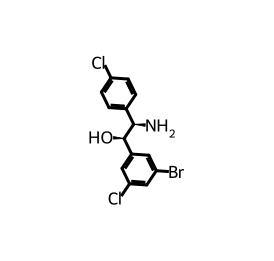 N[C@H](c1ccc(Cl)cc1)[C@H](O)c1cc(Cl)cc(Br)c1